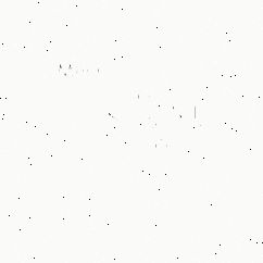 C=CC[C@@H](C)[C@@H](CCOC)S(N)(=O)=O